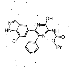 CC(C)OC(=O)Nc1nc(-c2ccccc2)c(-c2cc(Cl)c3[nH]ncc3c2)nc1O